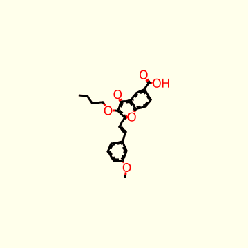 CCCCOc1c(/C=C/c2cccc(OC)c2)oc2ccc(C(=O)O)cc2c1=O